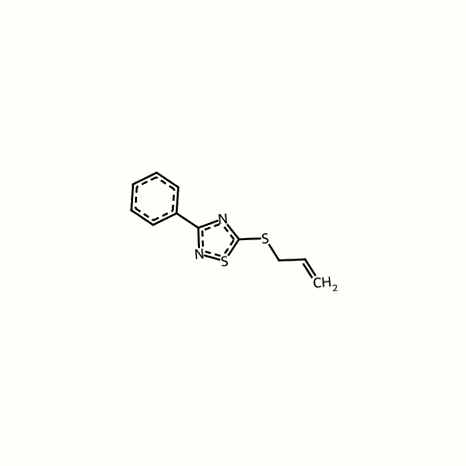 C=CCSc1nc(-c2ccccc2)ns1